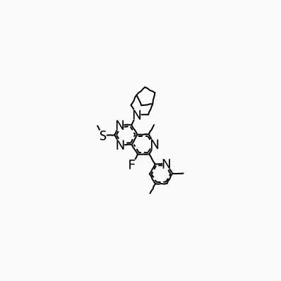 CSc1nc(N2CC3CCC(C3)C2)c2c(C)nc(-c3cc(C)cc(C)n3)c(F)c2n1